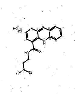 CCN(CC)CCNC(=O)C1=C2Nc3ccccc3C=C2CC=I1.Cl.Cl